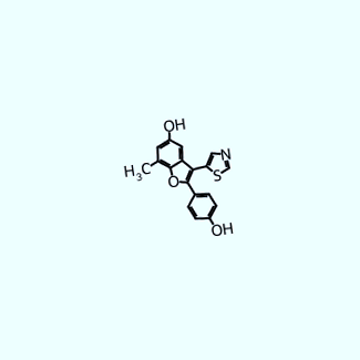 Cc1cc(O)cc2c(-c3cncs3)c(-c3ccc(O)cc3)oc12